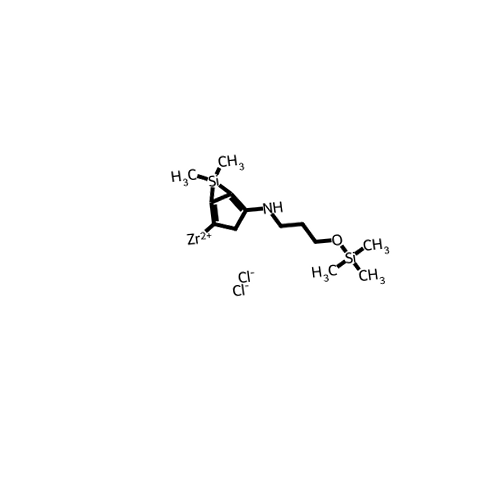 C[Si](C)(C)OCCCNC1=C2C(=[C]([Zr+2])C1)[Si]2(C)C.[Cl-].[Cl-]